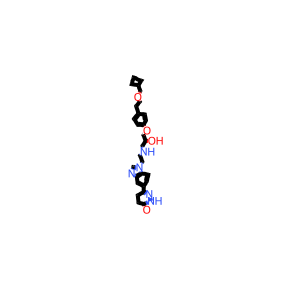 O=C1CCC(c2ccc3c(c2)ncn3CCNCC(O)COc2ccc(CCOCC3CCC3)cc2)=NN1